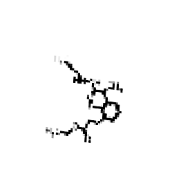 C=CCNNC(=O)C(C)c1cccc(CCC(=O)OCC)c1F